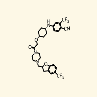 N#Cc1ccc(N[C@H]2CC[C@H](OCC(=O)N3CCN(CC4Cc5cc(C(F)(F)F)ccc5O4)CC3)CC2)cc1C(F)(F)F